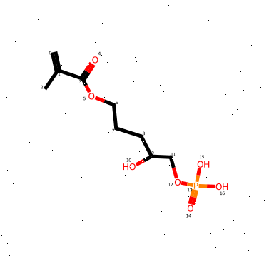 C=C(C)C(=O)OCCCC(O)COP(=O)(O)O